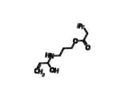 C=CC(O)NCCCOC(=O)CC(C)C